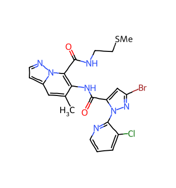 CSCCNC(=O)c1c(NC(=O)c2cc(Br)nn2-c2ncccc2Cl)c(C)cc2ccnn12